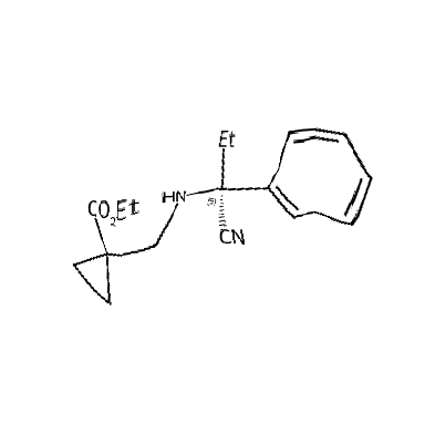 CCOC(=O)C1(CN[C@@](C#N)(CC)c2ccccc2)CC1